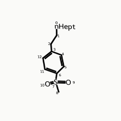 CCCCCCCCCc1ccc(S(C)(=O)=O)cc1